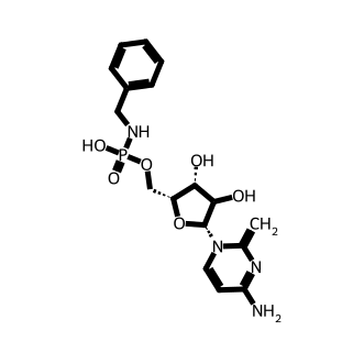 C=C1N=C(N)C=CN1[C@@H]1O[C@H](COP(=O)(O)NCc2ccccc2)[C@H](O)C1O